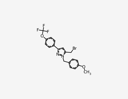 COc1ccc(Cn2nc(-c3ccc(OC(F)(F)F)cc3)cc2CBr)cc1